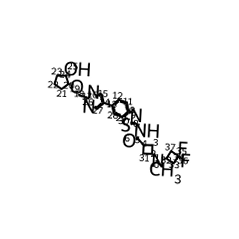 CN(C1CC(C(=O)Nc2nc3ccc(-c4cnc(CO[C@H]5CCC[C@@H]5O)nc4)cc3s2)C1)C1CC(F)(F)C1